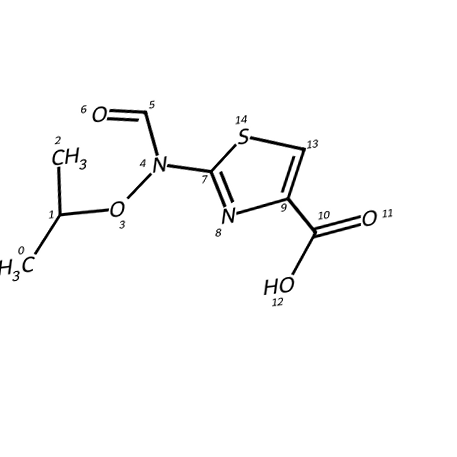 CC(C)ON(C=O)c1nc(C(=O)O)cs1